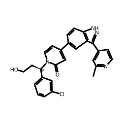 Cc1cc(-c2n[nH]c3ccc(-c4ccn([C@H](CCO)c5cccc(Cl)c5)c(=O)c4)cc23)ccn1